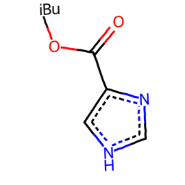 CCC(C)OC(=O)c1c[nH]cn1